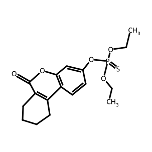 CCOP(=S)(OCC)Oc1ccc2c3c(c(=O)oc2c1)CCCC3